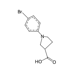 O=C(O)C1CCN(c2ccc(Br)cc2)C1